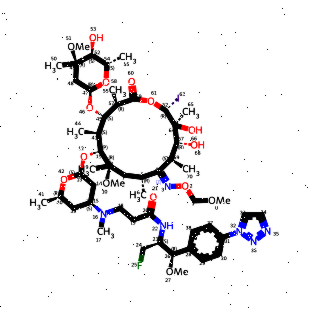 COCO/N=C1/[C@H](C)C[C@@](C)(OC)[C@H](O[C@H]2C[C@@H](N(C)CCC(=O)N[C@H](CF)[C@H](OC)c3ccc(-n4ccnn4)cc3)C[C@@H](C)O2)[C@@H](C)[C@H](O[C@H]2C[C@@](C)(OC)[C@@H](O)[C@H](C)O2)[C@@H](C)C(=O)O[C@H](I)[C@@](C)(O)[C@H](O)[C@H]1C